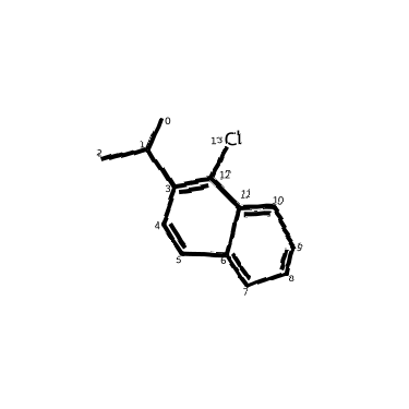 CC(C)c1ccc2ccccc2c1Cl